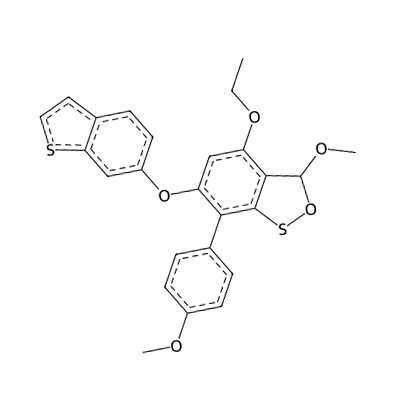 CCOc1cc(Oc2ccc3ccsc3c2)c(-c2ccc(OC)cc2)c2c1C(OC)OS2